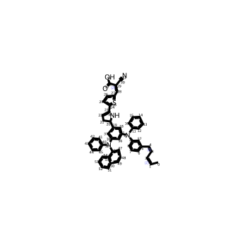 C/C=C\C=C/c1cccc(N(c2ccccc2)c2cc(C3CC=C(c4ccc(/C=C(/C#N)C(=O)O)s4)N3)cc(N(c3ccccc3)c3cccc4ccccc34)c2)c1